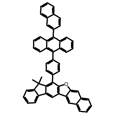 CC1(C)c2ccccc2-c2cc3c(oc4cc5ccccc5cc43)c(-c3ccc(-c4c5ccccc5c(-c5ccc6ccccc6c5)c5ccccc45)cc3)c21